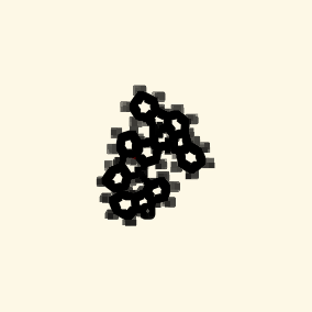 c1ccc(-c2ccccc2N(c2ccc3c(c2)n2c4ccccc4c4ccc5c6ccccc6n3c5c42)c2cccc3oc4ccccc4c23)cc1